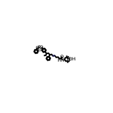 CCC(CC(C/C=C/CCCC(=O)NC1CC(C)(C)N(O)C(C)(C)C1)c1ccccc1)c1ccc(OP(C)(=O)Oc2ccccc2)cc1